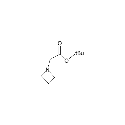 CC(C)(C)OC(=O)CN1CCC1